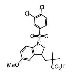 COc1ccc2c(c1)C(CC(C)(C)C(=O)O)CN2S(=O)(=O)c1ccc(Cl)c(Cl)c1